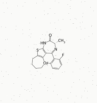 C[C@@H]1N=C(c2c(F)cccc2F)c2c(sc3c2OCCCC3)NC1=O